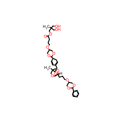 CC(CO)(CO)COC(=O)CCCOC1COC(C2C=CC(CC3OC4OCC3(C)CO[C@@H]4CCCOC3COC(c4ccccc4)OC3)=CC2)OC1